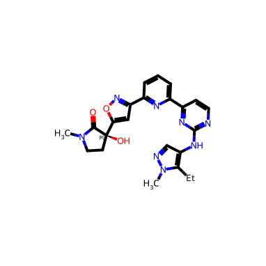 CCc1c(Nc2nccc(-c3cccc(-c4cc([C@]5(O)CCN(C)C5=O)on4)n3)n2)cnn1C